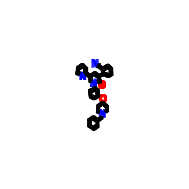 N#Cc1ccccc1-c1cc(-c2ccccn2)cn(-c2cccc(OC3CCN(Cc4ccccc4)CC3)c2)c1=O